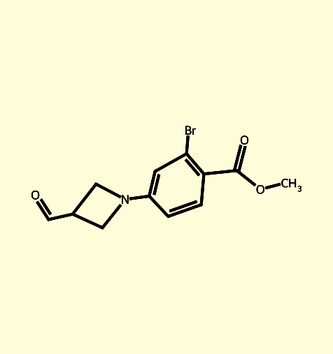 COC(=O)c1ccc(N2CC(C=O)C2)cc1Br